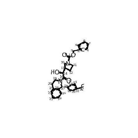 O=C(OCc1ccccc1)N1CCC(C(O)C(=O)N2CCc3ccccc3[C@@H]2c2ccc(F)cc2)C1